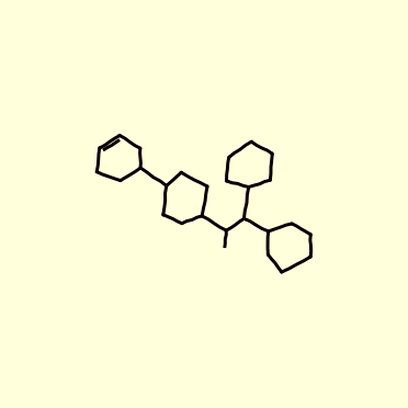 CC(C1CCC(C2CC=CCC2)CC1)C(C1CCCCC1)C1CCCCC1